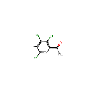 [C-]#[N+]C(=O)c1cc(Cl)c(C)c(Cl)c1Cl